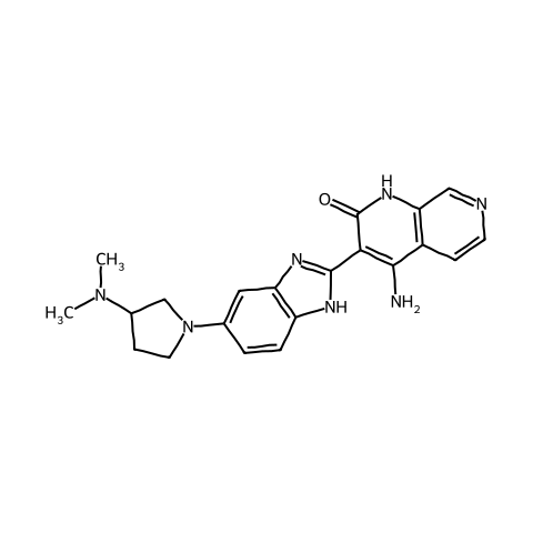 CN(C)C1CCN(c2ccc3[nH]c(-c4c(N)c5ccncc5[nH]c4=O)nc3c2)C1